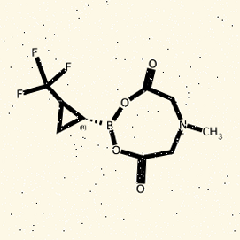 CN1CC(=O)OB([C@@H]2CC2C(F)(F)F)OC(=O)C1